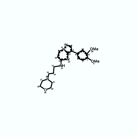 COc1ccc(-c2cnn3ccc(NCCCN4CCOCC4)nc23)cc1OC